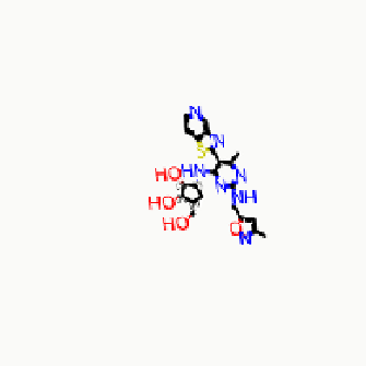 Cc1cc(CNc2nc(C)c(-c3nc4cnccc4s3)c(N[C@@H]3C[C@H](CO)[C@@H](O)[C@H]3O)n2)on1